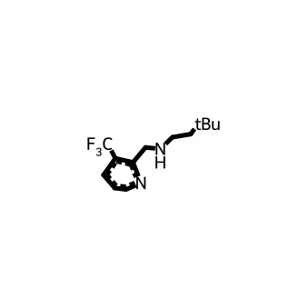 CC(C)(C)CCNCc1ncccc1C(F)(F)F